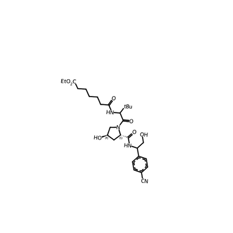 CCOC(=O)CCCCCC(=O)NC(C(=O)N1C[C@H](O)C[C@H]1C(=O)NC(CO)c1ccc(C#N)cc1)C(C)(C)C